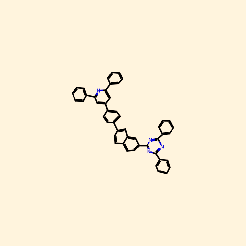 c1ccc(-c2cc(-c3ccc(-c4ccc5ccc(-c6nc(-c7ccccc7)nc(-c7ccccc7)n6)cc5c4)cc3)cc(-c3ccccc3)n2)cc1